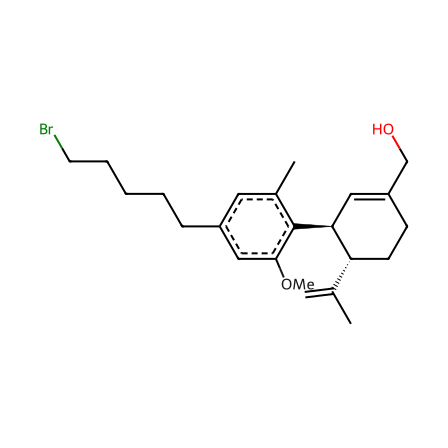 C=C(C)[C@H]1CCC(CO)=C[C@@H]1c1c(C)cc(CCCCCBr)cc1OC